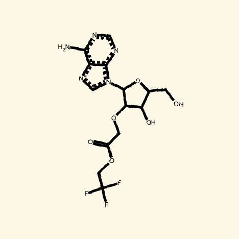 Nc1ncnc2c1ncn2C1OC(CO)C(O)C1OCC(=O)OCC(F)(F)F